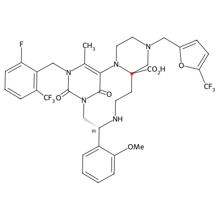 COc1ccccc1[C@H](Cn1c(=O)c(N2CCN(Cc3ccc(C(F)(F)F)o3)CC2)c(C)n(Cc2c(F)cccc2C(F)(F)F)c1=O)NCCCC(=O)O